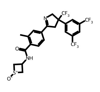 Cc1cc(C2=NCC(c3cc(C(F)(F)F)cc(C(F)(F)F)c3)(C(F)(F)F)C2)ccc1C(=O)NC1C[S+]([O-])C1